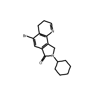 O=C1c2cc(Br)c3c(c2CN1C1CCCCC1)N=CCC3